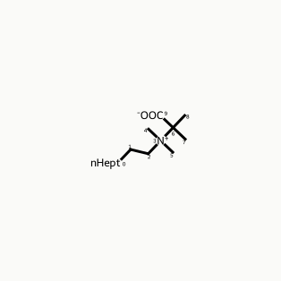 CCCCCCCCC[N+](C)(C)C(C)(C)C(=O)[O-]